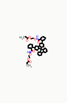 C=CC(=O)OCCONC(=O)c1ccccc1-c1ccc(C2(c3ccc(-c4ccccc4C(=O)NOCCOC(=O)C=C)cc3)c3ccccc3-c3ccccc32)cc1